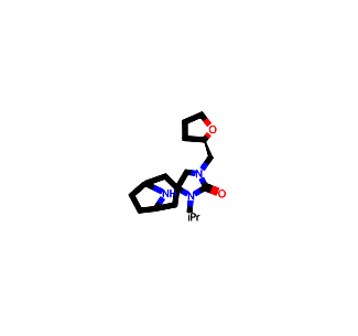 CC(C)N1C(=O)N(C[C@H]2CCCO2)CC12CC1CCC(C2)N1